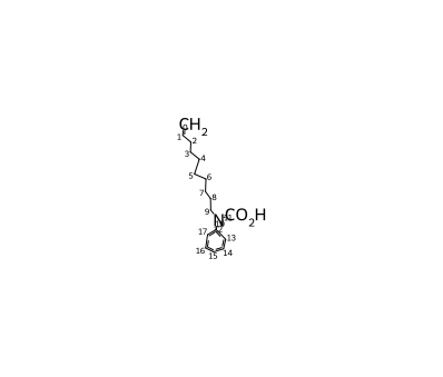 C=CCCCCCCCCN(C(=O)O)c1ccccc1